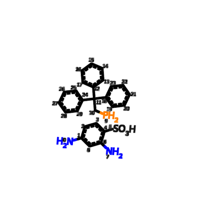 Nc1ccc(S(=O)(=O)O)c(N)c1.PCC(c1ccccc1)(c1ccccc1)c1ccccc1